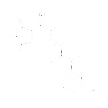 CCN(C(=O)/C(C#N)=C/NC(=N)N1CC(C)NC1=O)c1cccc(C(F)(F)F)c1